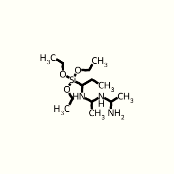 CCO[Si](OCC)(OCC)C(CC)NC(C)NC(C)N